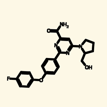 NC(=O)c1cc(N2CCCC2CO)nc(-c2ccc(Oc3ccc(F)cc3)cc2)n1